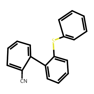 N#Cc1ccccc1-c1ccccc1Sc1ccccc1